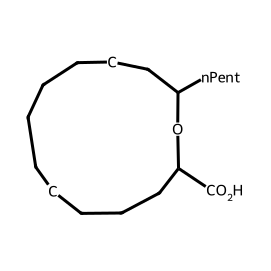 CCCCCC1CCCCCCCCCCC(C(=O)O)O1